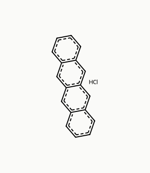 Cl.c1ccc2cc3cc4ccccc4cc3cc2c1